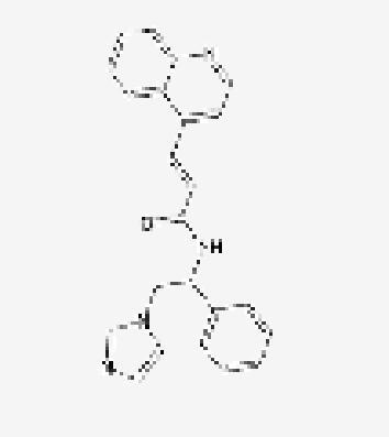 O=C(/C=C/c1ccnc2ccccc12)NC(Cn1ccnc1)c1ccccc1